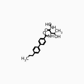 CCCc1ccc(-c2ccc(C(=O)N[C@H](C(=O)NO)[C@@H](C)O)cc2)cc1